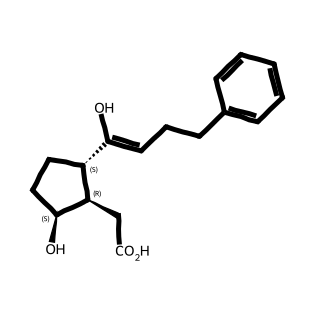 O=C(O)C[C@@H]1[C@@H](C(O)=CCCc2ccccc2)CC[C@@H]1O